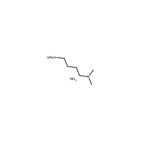 CCCCCCCCCN(C)C.N